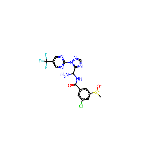 C[S+]([O-])c1cc(Cl)cc(C(=O)NC(N)c2ncnn2-c2ncc(C(F)(F)F)cn2)c1